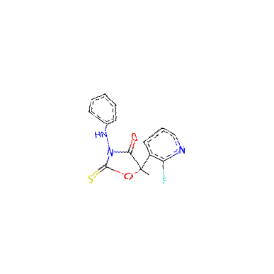 CC1(c2cccnc2F)OC(=S)N(Nc2ccccc2)C1=O